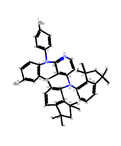 CC(C)(C)c1ccc(N2c3ccc(C(C)(C)C)cc3B3c4ccc5c(c4N(c4cccc6c4C(C)(C)CC6(C)C)c4ccnc2c43)C(C)(C)CC5(C)C)cc1